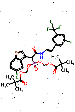 CC(C)(C)C(=O)OCOP(=O)(OCOC(=O)C(C)(C)C)C(C(=O)N/C=C/c1cc(F)cc(C(F)(F)F)c1)c1csc2ccc(Cl)cc12